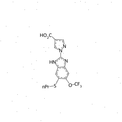 CCCSc1cc2[nH]c(-n3cc(C(=O)O)cn3)nc2cc1OC(F)(F)F